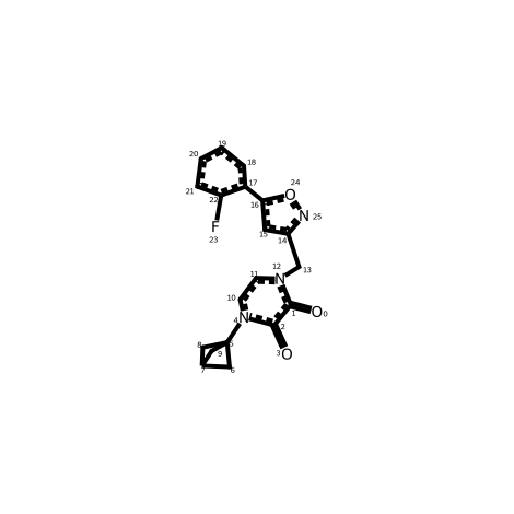 O=c1c(=O)n(C23CC(C2)C3)ccn1Cc1cc(-c2ccccc2F)on1